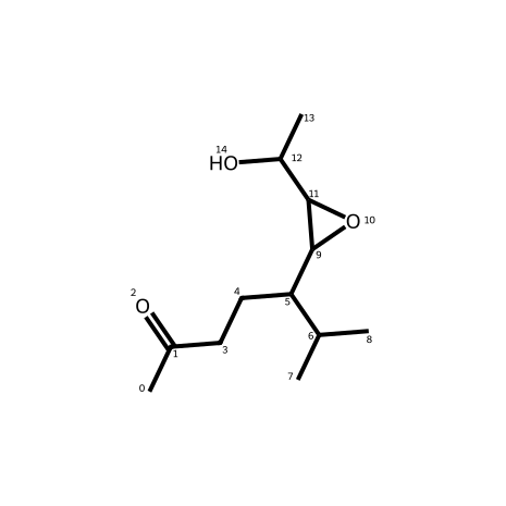 CC(=O)CCC(C(C)C)C1OC1C(C)O